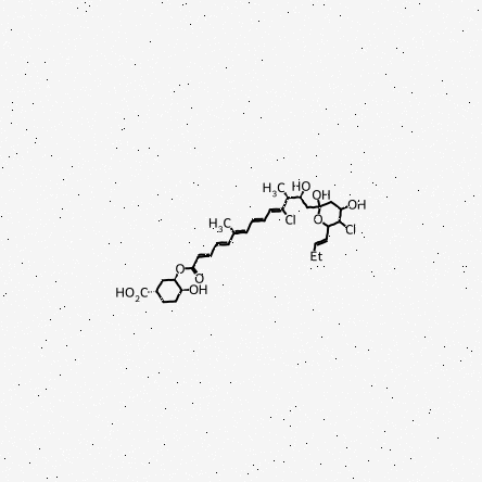 CC/C=C/C1OC(O)(C[C@H](O)[C@H](C)/C(Cl)=C/C=C/C=C(C)/C=C/C=C/C(=O)O[C@@H]2C[C@@H](C(=O)O)CC[C@@H]2O)CC(O)C1Cl